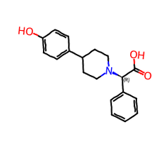 O=C(O)[C@@H](c1ccccc1)N1CCC(c2ccc(O)cc2)CC1